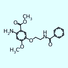 COC(=O)c1cc(OCCNC(=O)c2ccccc2)c(OC)cc1N